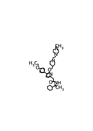 CCOc1ccc(-c2ccc(CC(=O)N[C@H](C)C3CCCCC3)nc2OCC2CCN(CCN3CCN(C)CC3)CC2)cc1